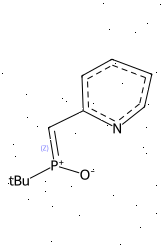 CC(C)(C)/[P+]([O-])=C/c1ccccn1